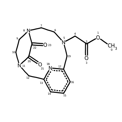 COC(=O)CN1CCN2CCN(Cc3cccc(n3)C1)C(=O)C2=O